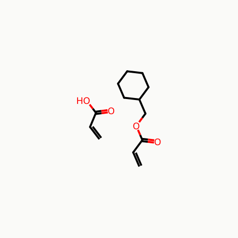 C=CC(=O)O.C=CC(=O)OCC1CCCCC1